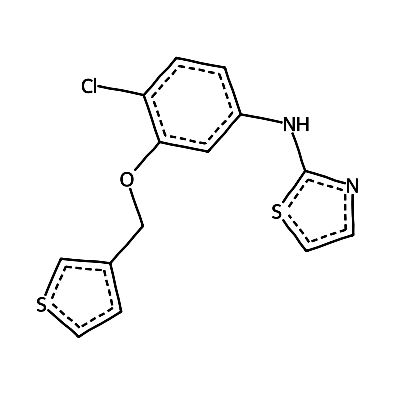 Clc1ccc(Nc2nccs2)cc1OCc1ccsc1